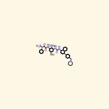 COc1c(NC(=O)Nc2ccc(-c3ccc(CN4CCCCC4)cc3)c3ccccc23)cc(C(C)(C)C)cc1NC(=O)C(=O)N(C)c1ccccc1